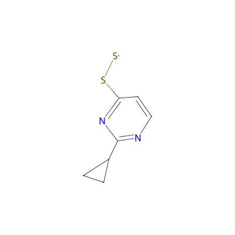 [S]Sc1ccnc(C2CC2)n1